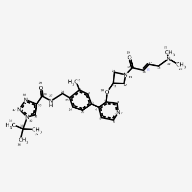 Cc1cc(-c2ccncc2OC2CN(C(=O)/C=C/CN(C)C)C2)ccc1CNC(=O)c1cn(C(C)(C)C)nn1